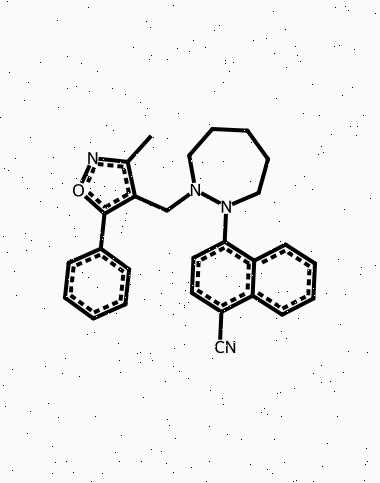 Cc1noc(-c2ccccc2)c1CN1CCCCCN1c1ccc(C#N)c2ccccc12